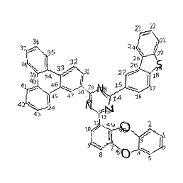 c1ccc2c(c1)Oc1cccc(-c3nc(-c4ccc5sc6ccccc6c5c4)nc(-c4ccc5c6ccccc6c6ccccc6c5c4)n3)c1O2